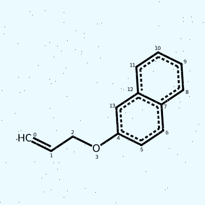 [CH]=CCOc1ccc2ccccc2c1